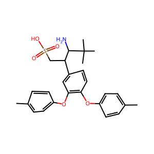 Cc1ccc(Oc2ccc(C(CS(=O)(=O)O)C(N)C(C)(C)C)cc2Oc2ccc(C)cc2)cc1